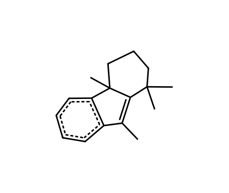 CC1=C2C(C)(C)CCCC2(C)c2ccccc21